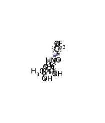 CN(CCO)C(=O)[C@H]1C[C@@H](O)CN1C(=O)CNC(=O)/C=C/c1ccc(C(F)(F)F)cc1